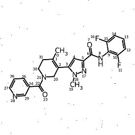 CC1=C(c2cc(C(=O)Nc3c(F)cccc3F)nn2C)CN(C(=O)c2cccnc2)CC1